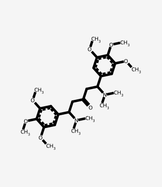 COc1cc(C(CC(=O)CC(c2cc(OC)c(OC)c(OC)c2)N(C)C)N(C)C)cc(OC)c1OC